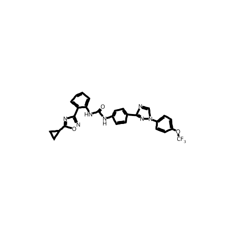 O=C(Nc1ccc(-c2ncn(-c3ccc(OC(F)(F)F)cc3)n2)cc1)Nc1ccccc1-c1noc(C2CC2)n1